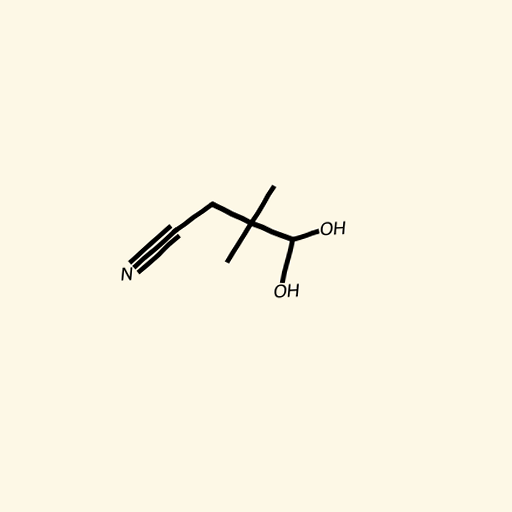 CC(C)(CC#N)C(O)O